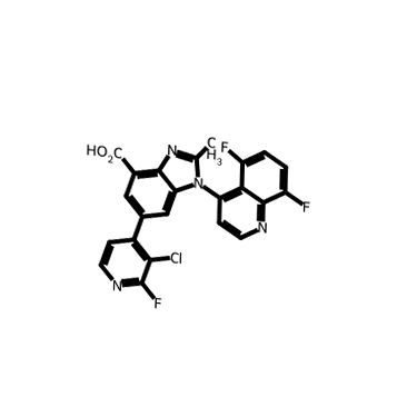 Cc1nc2c(C(=O)O)cc(-c3ccnc(F)c3Cl)cc2n1-c1ccnc2c(F)ccc(F)c12